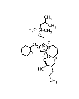 CCCC(C[C@H]1CCC[C@@H]2[C@@H](CO[Si](C)(C)CC(C)C)[C@H](OC3CCCCO3)C[C@@H]2O1)C(=O)O